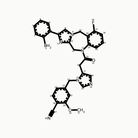 Bc1ccccc1-c1cn2c(n1)CN(C(=O)Cc1cncn1Cc1ccc(C#N)c(OC)c1)c1cccc(F)c1C2